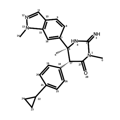 CN1C(=N)N[C@](C)(c2ccc3cnn(C)c3c2)[C@@H](c2ccc(C3CC3)cc2)C1=O